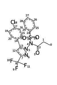 CCC(=O)N(n1nc(C(F)(F)F)cc1-c1ccc(Cl)cc1)S(=O)(=O)c1ccccc1